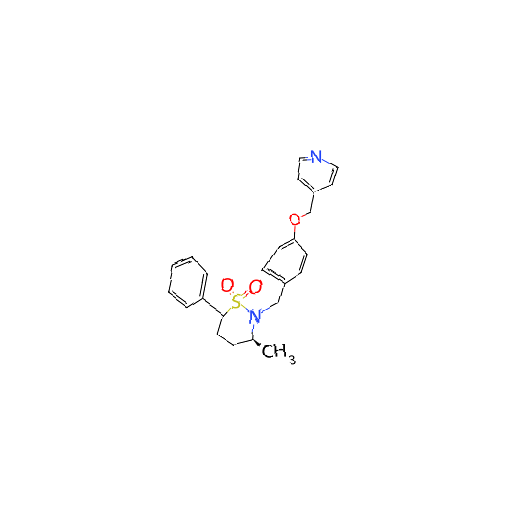 C[C@H]1CCC(c2ccccc2)S(=O)(=O)N1Cc1ccc(OCc2ccncc2)cc1